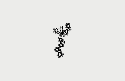 c1ccc(C2=NC(c3ccc4c(c3)oc3ccc(-c5cccc6c5sc5ccccc56)cc34)NC(c3ccc4sc5ccccc5c4c3)N2)cc1